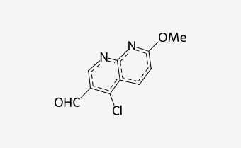 COc1ccc2c(Cl)c(C=O)cnc2n1